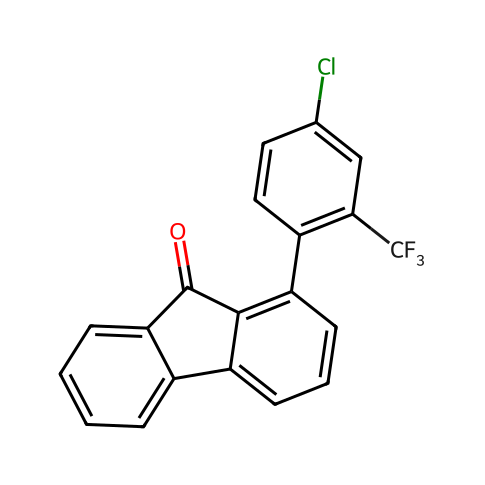 O=C1c2ccccc2-c2cccc(-c3ccc(Cl)cc3C(F)(F)F)c21